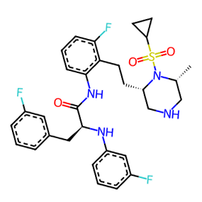 C[C@@H]1CNC[C@H](CCc2c(F)cccc2NC(=O)[C@H](Cc2cccc(F)c2)Nc2cccc(F)c2)N1S(=O)(=O)C1CC1